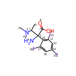 CC(N(C)C)C(N)(C(=O)O)c1c(I)cc(I)cc1I